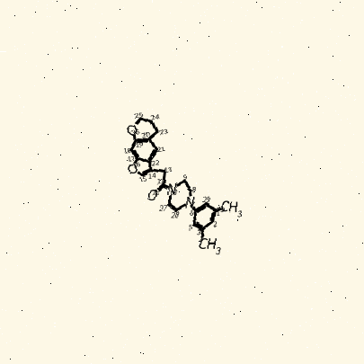 Cc1cc(C)cc(N2CCN(C(=O)Cc3coc4cc5c(cc34)CCCO5)CC2)c1